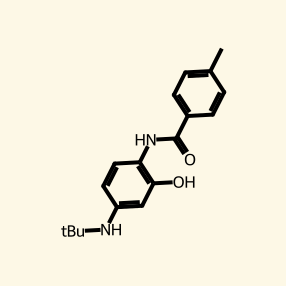 Cc1ccc(C(=O)Nc2ccc(NC(C)(C)C)cc2O)cc1